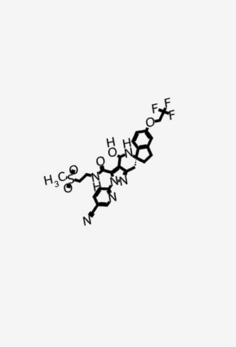 CS(=O)(=O)CCNC(=O)c1c2c(nn1-c1ccc(C#N)cn1)C[C@]1(CCc3cc(OCC(F)(F)F)ccc31)NC2O